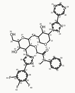 CN(C(=O)COC1C(SC2COCC(n3cc(-c4cncnc4)nn3)C2O)OC(CO)C(O)C1n1cc(-c2cc(F)c(F)c(F)c2)nn1)c1ccccc1